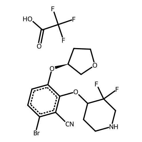 N#Cc1c(Br)ccc(O[C@H]2CCOC2)c1OC1CCNCC1(F)F.O=C(O)C(F)(F)F